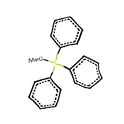 COS(c1ccccc1)(c1ccccc1)c1ccccc1